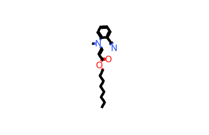 CCCCCCCCOC(=O)C=CN(C)c1ccccc1C#N